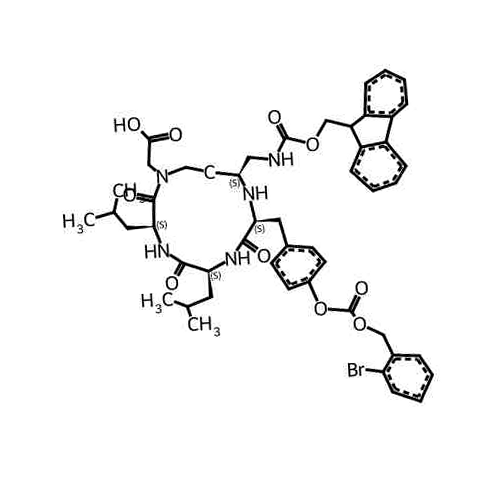 CC(C)C[C@@H]1NC(=O)[C@H](Cc2ccc(OC(=O)OCc3ccccc3Br)cc2)N[C@H](CNC(=O)OCC2c3ccccc3-c3ccccc32)CCN(CC(=O)O)C(=O)[C@H](CC(C)C)NC1=O